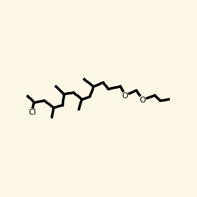 CCCOCOCCCC(C)CC(C)CC(C)CC(C)CC(C)Cl